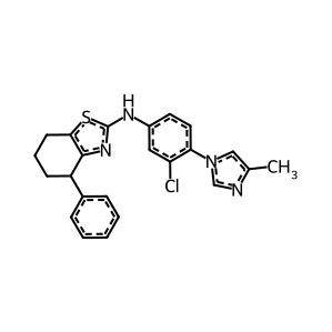 Cc1cn(-c2ccc(Nc3nc4c(s3)CCCC4c3ccccc3)cc2Cl)cn1